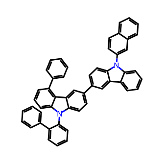 c1ccc(-c2ccccc2-n2c3ccc(-c4ccc5c(c4)c4ccccc4n5-c4ccc5ccccc5c4)cc3c3c(-c4ccccc4)cccc32)cc1